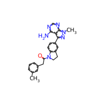 Cc1cccc(CC(=O)N2CCc3cc(-c4nn(C)c5ncnc(N)c45)ccc32)c1